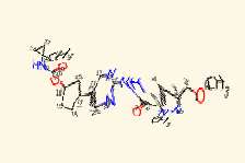 COCc1cc(C(=O)Nc2ncc([C@H]3CC[C@@H](OC(=O)NC4(C)CC4)C3)cn2)n(C)n1